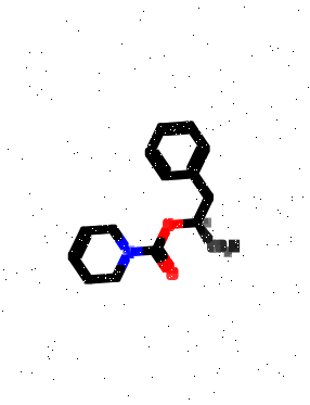 O=C(O)[C@H](Cc1ccccc1)OC(=O)N1CC=CCC1